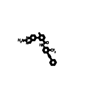 Cc1ccc(C(=O)Nc2ccc(C#Cc3ccccc3)c(C(F)(F)F)c2)cc1-c1ccc2nc(N)ncc2c1